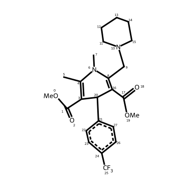 COC(=O)C1=C(C)N(C)C(CN2CCCCC2)=C(C(=O)OC)C1c1ccc(C(F)(F)F)cc1